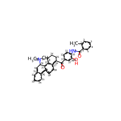 Cc1ccccc1C(=O)Nc1ccc(C(=O)C2=c3ccc4c(c3CCC2)C(N(C)C)C=c2ccccc2=4)cc1O